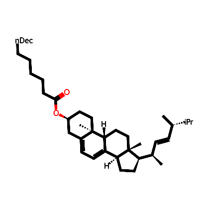 CCCCCCCCCCCCCCCC(=O)O[C@H]1CC[C@]2(C)C(=CC=C3[C@H]2CC[C@]2(C)[C@@H]([C@H](C)/C=C/[C@H](C)C(C)C)CC[C@@H]32)C1